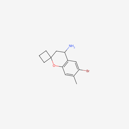 Cc1cc2c(cc1Br)C(N)CC1(CCC1)O2